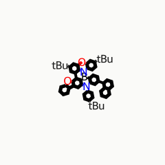 CC(C)(C)c1ccc(N2c3cc(-c4cccc5ccccc45)ccc3B3c4c2cc2c(oc5ccccc52)c4-c2cc(C(C)(C)C)cc4c2N3c2ccc(C(C)(C)C)cc2O4)cc1